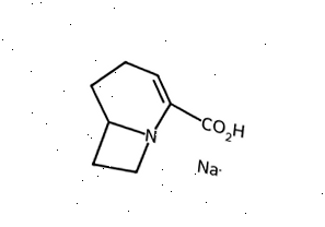 O=C(O)C1=CCCC2CCN12.[Na]